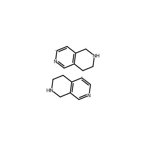 [c]1cc2c(cn1)CCNC2.[c]1cncc2c1CCNC2